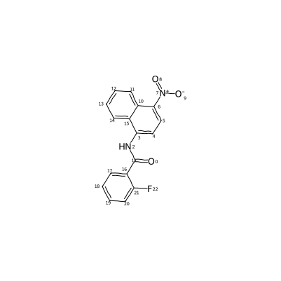 O=C(Nc1ccc([N+](=O)[O-])c2ccccc12)c1ccccc1F